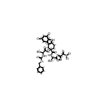 CCC(C)C(NC(=O)OCc1ccccc1)C(=O)N[C@]1(C(=O)NC(c2nc(C(=O)N(CC)CC)no2)C(C)CC)CCc2[nH]c3c(Cl)cc(Cl)cc3c2C1